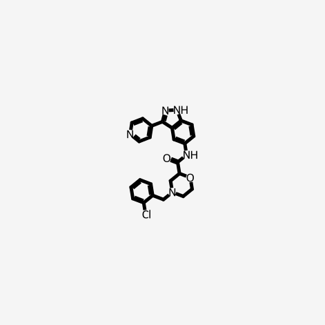 O=C(Nc1ccc2[nH]nc(-c3ccncc3)c2c1)C1CN(Cc2ccccc2Cl)CCO1